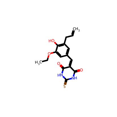 C=CCc1cc(C=C2C(=O)NC(=S)NC2=O)cc(OCC)c1O